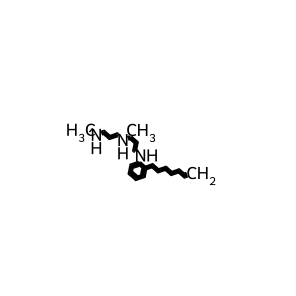 C=CCCCCCc1ccccc1NCCC(C)NCCCNC